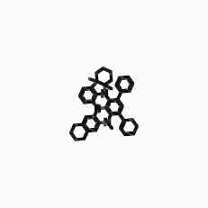 CN1c2cc3c(cc2B2c4cccc5c4N(c4c(-c6ccccc6)cc(C6=CC=CCC6)c1c42)C1(C)CCCCC51C)CCCC3